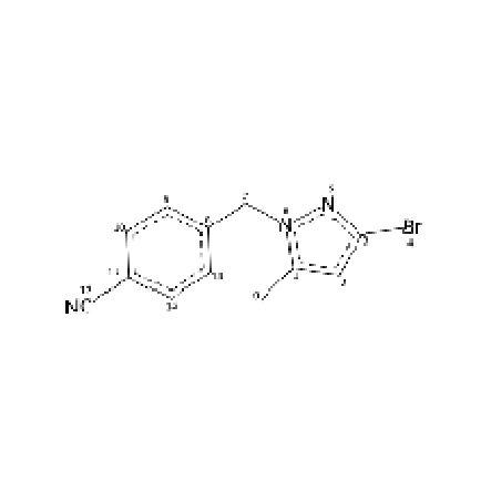 Cc1cc(Br)nn1Cc1ccc(C#N)cc1